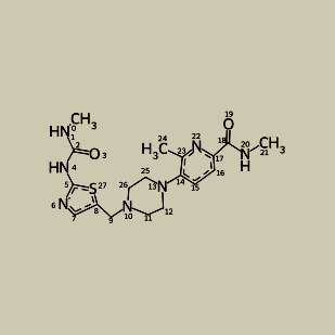 CNC(=O)Nc1ncc(CN2CCN(c3ccc(C(=O)NC)nc3C)CC2)s1